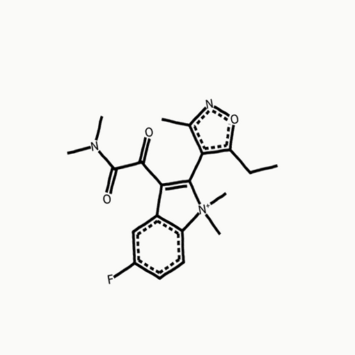 CCc1onc(C)c1C1=C(C(=O)C(=O)N(C)C)c2cc(F)ccc2[N+]1(C)C